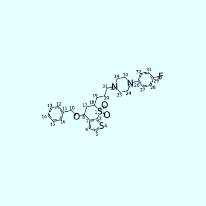 O=S1(=O)c2sccc2C(OCc2ccccc2)CC1CCCN1CCN(c2ccc(F)cc2)CC1